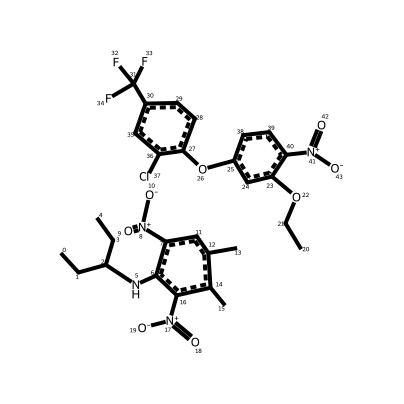 CCC(CC)Nc1c([N+](=O)[O-])cc(C)c(C)c1[N+](=O)[O-].CCOc1cc(Oc2ccc(C(F)(F)F)cc2Cl)ccc1[N+](=O)[O-]